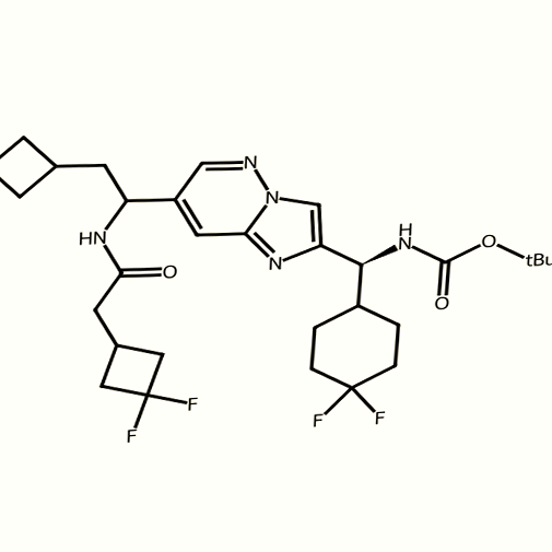 CC(C)(C)OC(=O)N[C@H](c1cn2ncc(C(CC3CCC3)NC(=O)CC3CC(F)(F)C3)cc2n1)C1CCC(F)(F)CC1